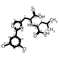 CC(C)C[C@H](NC(Cc1coc(-c2cc(Cl)cc(Cl)c2)n1)C(=O)O)C(=O)O